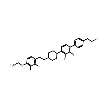 CCCc1ccc(-c2ccc(C3CCC(CCc4ccc(OCC)c(F)c4F)CC3)c(F)c2F)cc1